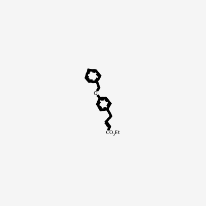 CCOC(=O)C=CCc1ccc(OCc2ccccc2)cc1